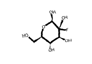 OC[C@H]1O[C@@H](O)[C@](O)(F)[C@@H](O)[C@@H]1O